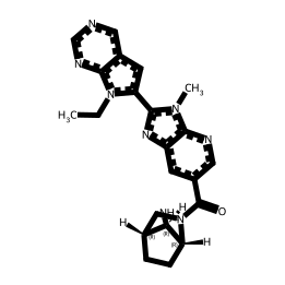 CCn1c(-c2nc3cc(C(=O)N4C[C@H]5CC[C@@H]4[C@@H]5N)cnc3n2C)cc2cncnc21